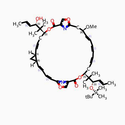 C/C=C/[C@H](O[Si](C)(C)C(C)(C)C)C(C)(C)[C@@H]1C\C=C/C=C\C=C\[C@H](OC)Cc2nc(co2)C(=O)O[C@H](C(C)(C)[C@@H](O)/C=C/C)C/C=C\[C@H]2C[C@H]2/C=C/C=C\c2nc(co2)C(=O)O1